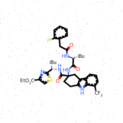 CCOC(=O)c1csc([C@@H](NC(=O)[C@@]2(NC(=O)[C@@H](NC(=O)Cc3ccccc3F)[C@@H](C)CC)CCc3[nH]c4c(C(F)(F)F)cccc4c3C2)[C@@H](C)CC)n1